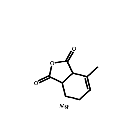 CC1=CCCC2C(=O)OC(=O)C12.[Mg]